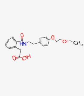 CCOCCOc1ccc(CCNC(=O)c2ccccc2CC(=O)O)cc1